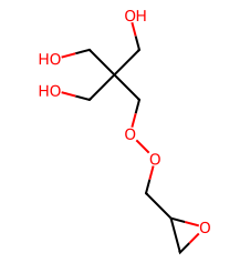 OCC(CO)(CO)COOCC1CO1